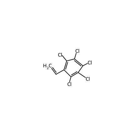 C=Cc1c(Cl)c(Cl)c(Cl)c(Cl)c1Cl